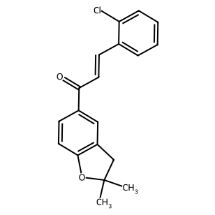 CC1(C)Cc2cc(C(=O)C=Cc3ccccc3Cl)ccc2O1